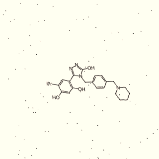 CC(C)c1cc(-c2nnc(O)n2Cc2ccc(CN3CCCCC3)cc2)c(O)cc1O